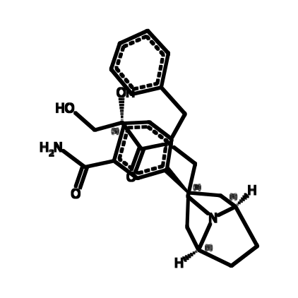 NC(=O)c1cccc([C@H]2C[C@H]3CC[C@@H](C2)N3CCN(Cc2ccccc2)C(=O)[C@@H](O)CO)c1